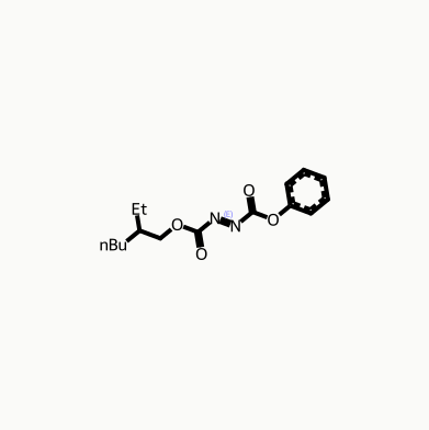 CCCCC(CC)COC(=O)/N=N/C(=O)Oc1ccccc1